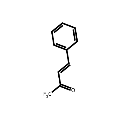 O=C(C=Cc1ccccc1)C(F)(F)F